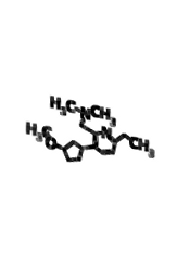 CCc1ccc([C@H]2CC[C@@H](OC)C2)c(CN(C)C)n1